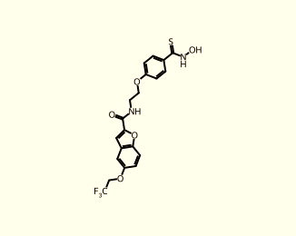 O=C(NCCOc1ccc(C(=S)NO)cc1)c1cc2cc(OCC(F)(F)F)ccc2o1